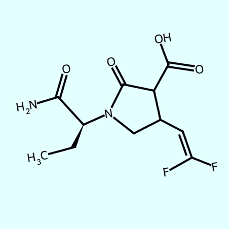 CC[C@@H](C(N)=O)N1CC(C=C(F)F)C(C(=O)O)C1=O